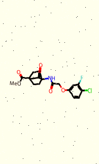 COC(=O)C12CCC(NC(=O)COc3ccc(Cl)c(F)c3)(CC1)C(=O)C2